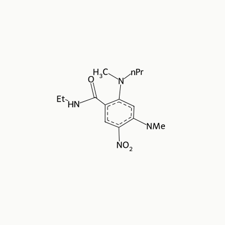 CCCN(C)c1cc(NC)c([N+](=O)[O-])cc1C(=O)NCC